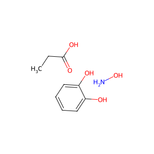 CCC(=O)O.NO.Oc1ccccc1O